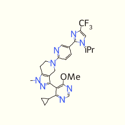 COc1ncnc(C2CC2)c1-c1nn(C)c2c1CN(c1ccc(-c3nc(C(F)(F)F)cn3C(C)C)cn1)CC2